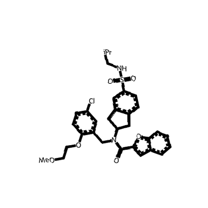 COCCOc1ccc(Cl)cc1CN(C(=O)c1cc2ccccc2o1)C1Cc2ccc(S(=O)(=O)NCC(C)C)cc2C1